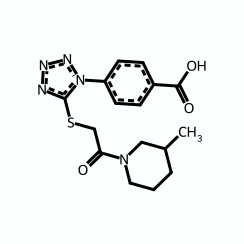 CC1CCCN(C(=O)CSc2nnnn2-c2ccc(C(=O)O)cc2)C1